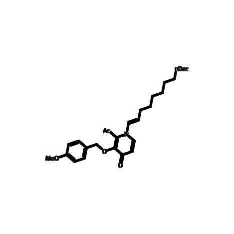 CCCCCCCCCCCCCCCCC=Cn1ccc(=O)c(OCc2ccc(OC)cc2)c1C(C)=O